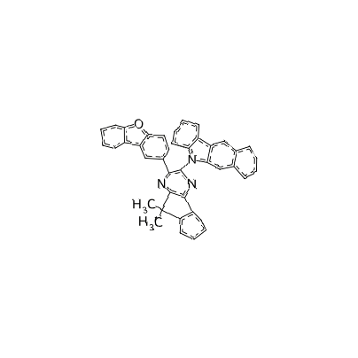 CC1(C)c2ccccc2-c2nc(-n3c4ccccc4c4cc5ccccc5cc43)c(-c3ccc4oc5ccccc5c4c3)nc21